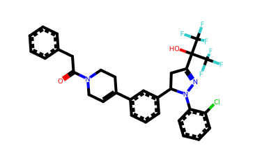 O=C(Cc1ccccc1)N1CC=C(c2cccc(C3CC(C(O)(C(F)(F)F)C(F)(F)F)=NN3c3ccccc3Cl)c2)CC1